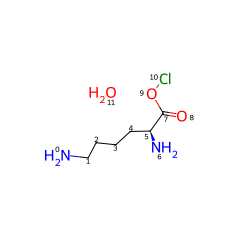 NCCCC[C@H](N)C(=O)OCl.O